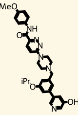 COc1ccc(NC(=O)c2ccc(N3CCN(Cc4cc(OC(C)C)cc(-c5cncc(O)c5)c4)CC3)nn2)cc1